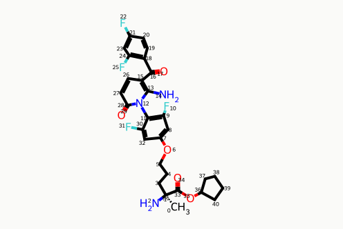 C[C@](N)(CCCOc1cc(F)c(-n2c(N)c(C(=O)c3ccc(F)cc3F)ccc2=O)c(F)c1)C(=O)OC1CCCC1